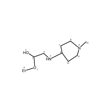 CCOC(O)CNC1CCN(C)CC1